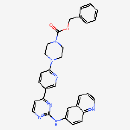 O=C(OCc1ccccc1)N1CCN(c2ccc(-c3ccnc(Nc4ccc5ncccc5c4)n3)cn2)CC1